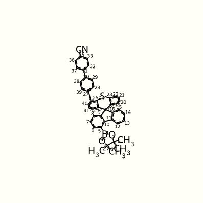 CC1(C)OB(c2cccc3c2-c2ccccc2C32c3ccccc3Sc3c(-c4ccc(-c5ccc(C#N)cc5)cc4)cccc32)OC1(C)C